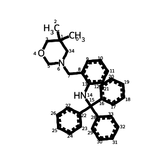 CC1(C)COCN(Cc2ccccc2NC(c2ccccc2)(c2ccccc2)c2ccccc2)C1